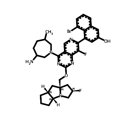 CC1CCC(N)CN(c2nc(OC[C@@]34C[C@@H](F)CN3[C@@H]3CCC[C@@H]3C4)nc3c(F)c(-c4cc(O)cc5cccc(Br)c45)ncc23)C1